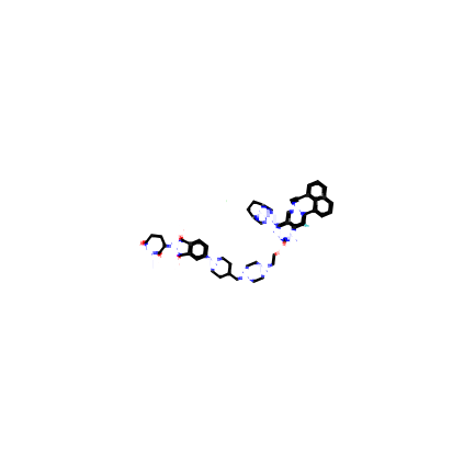 C#Cc1cccc2cccc(-c3ncc4c(N5CC6CCC(C5)N6)nc(OCCN5CCN(CC6CCN(c7ccc8c(c7)C(=O)N(C7CCC(=O)NC7=O)C8=O)CC6)CC5)nc4c3F)c12.Cl